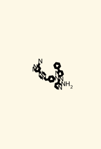 N#Cc1cc(N2CCN(Cc3ccc(-n4c(-c5cccnc5N)nc5ccc(-c6ccccc6)nc54)cc3)CC2)cnn1